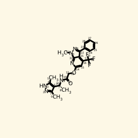 Cc1n[nH]c(C)c1[C@@H](C)NC(=O)COc1cc(C(F)(F)F)c2c(-c3ccccc3)nn(C)c2n1